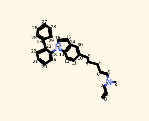 C=CCN(C)CCCCCc1ccc2c(ccn2-c2ccccc2-c2ccccc2)c1